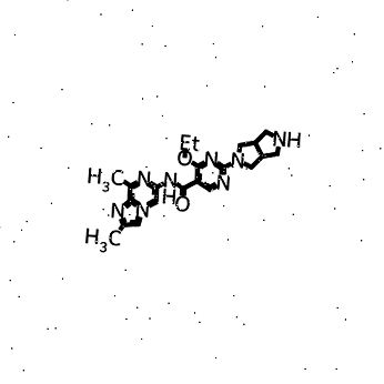 CCOc1nc(N2CC3CNCC3C2)ncc1C(=O)Nc1cn2cc(C)nc2c(C)n1